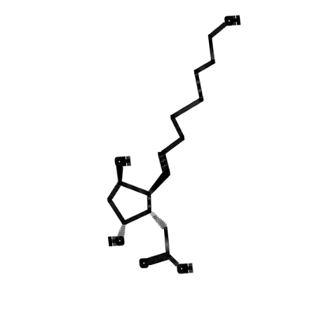 O=C(O)C[C@H]1[C@H](C=CCCCCCCO)[C@H](O)C[C@H]1O